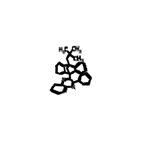 CC(C)(C)CC12CC(c3nc4ccccc4nc3-c3ccccc3)(c3ccccc31)c1ccccc12